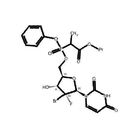 CC(C)OC(=O)C(C)P(=O)(OC[C@H]1O[C@@H](n2ccc(=O)[nH]c2=O)[C@@](F)(Br)[C@@H]1O)Oc1ccccc1